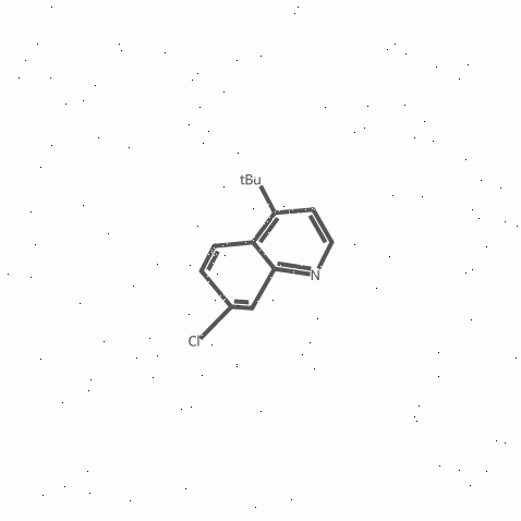 CC(C)(C)c1ccnc2cc(Cl)ccc12